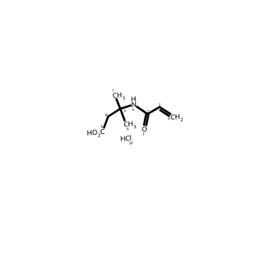 C=CC(=O)NC(C)(C)CC(=O)O.Cl